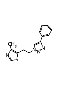 Cc1ncsc1CCn1cc(-c2ccccc2)nn1